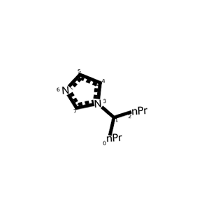 CCCC(CCC)n1c[c]nc1